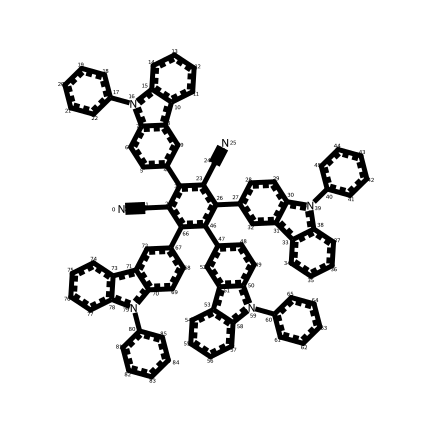 N#Cc1c(-c2ccc3c(c2)c2ccccc2n3-c2ccccc2)c(C#N)c(-c2ccc3c(c2)c2ccccc2n3-c2ccccc2)c(-c2ccc3c(c2)c2ccccc2n3-c2ccccc2)c1-c1ccc2c(c1)c1ccccc1n2-c1ccccc1